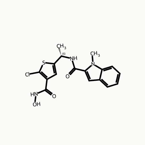 C[C@H](NC(=O)c1cc2ccccc2n1C)c1cc(C(=O)NO)c(Cl)s1